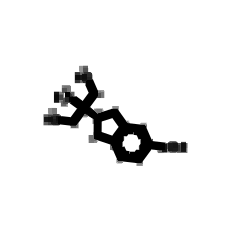 CCCCCCCCc1ccc2c(c1)C[C@H](C(N)(CO)CO)C2